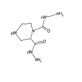 NNC(=O)C1CNCCN1C(=O)NN